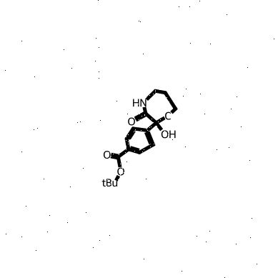 CC(C)(C)OC(=O)c1ccc(C2(O)CCCCNC2=O)cc1